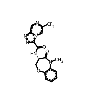 CN1C(=O)[C@@H](NC(=O)c2nnc3cnc(C(F)(F)F)cn23)COc2ccccc21